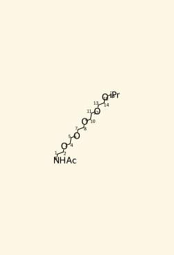 CC(=O)NCCOCCOCCOCCOCCOC(C)C